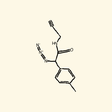 C#CCNC(=O)C(N=[N+]=[N-])c1ccc(C)cc1